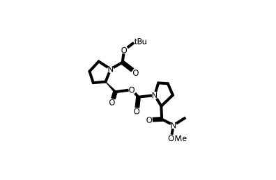 CON(C)C(=O)C1CCCN1C(=O)OC(=O)[C@H]1CCCN1C(=O)OC(C)(C)C